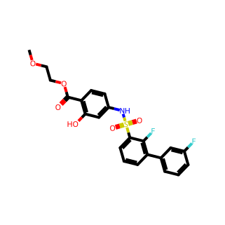 COCCOC(=O)c1ccc(NS(=O)(=O)c2cccc(-c3cccc(F)c3)c2F)cc1O